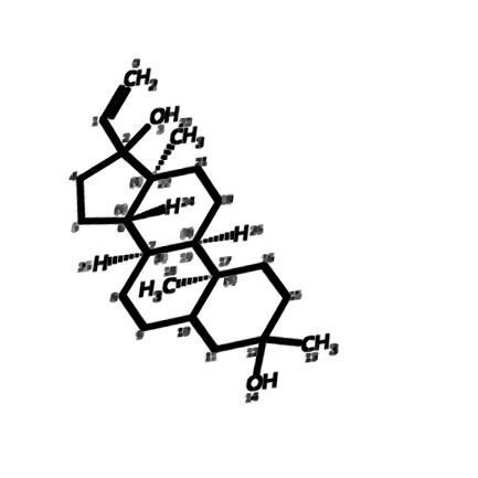 C=CC1(O)CC[C@H]2[C@@H]3CCC4CC(C)(O)CC[C@]4(C)[C@@H]3CC[C@@]21C